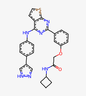 O=C(COc1cccc(-c2nc(Nc3ccc(-c4cn[nH]c4)cc3)c3ccsc3n2)c1)NC1CCC1